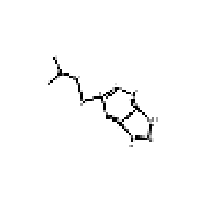 CC(C)CCc1cnc2[nH][c]nc2c1